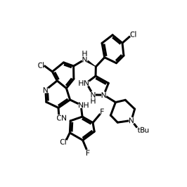 CC(C)(C)N1CCC(N2C=C([C@@H](Nc3cc(Cl)c4ncc(C#N)c(Nc5cc(Cl)c(F)cc5F)c4c3)c3ccc(Cl)cc3)NN2)CC1